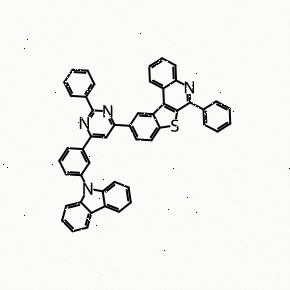 c1ccc(-c2nc(-c3cccc(-n4c5ccccc5c5ccccc54)c3)cc(-c3ccc4sc5c(-c6ccccc6)nc6ccccc6c5c4c3)n2)cc1